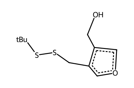 CC(C)(C)SSCc1cocc1CO